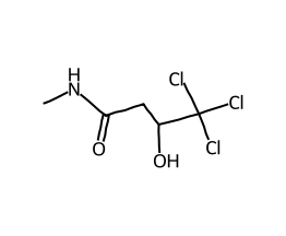 CNC(=O)CC(O)C(Cl)(Cl)Cl